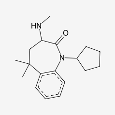 CNC1CC(C)(C)c2ccccc2N(C2CCCC2)C1=O